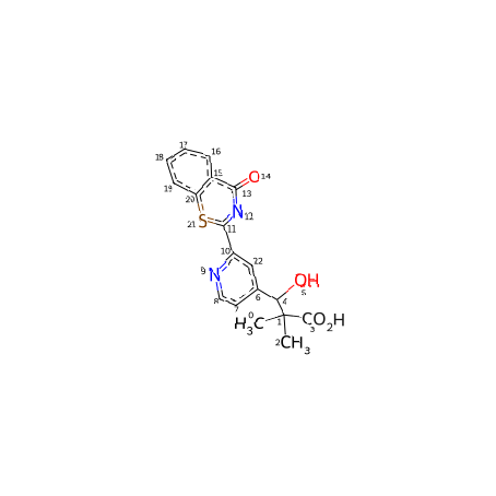 CC(C)(C(=O)O)C(O)c1ccnc(-c2nc(=O)c3ccccc3s2)c1